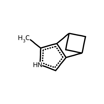 Cc1[nH]cc2c1C1CC2C1